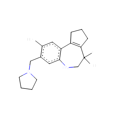 Cc1cc2c(cc1CN1CCCC1)NCC(C)(C)C1=C2CCC1